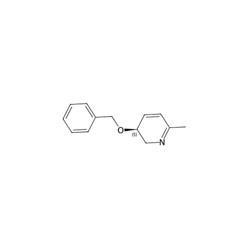 CC1=NC[C@@H](OCc2ccccc2)C=C1